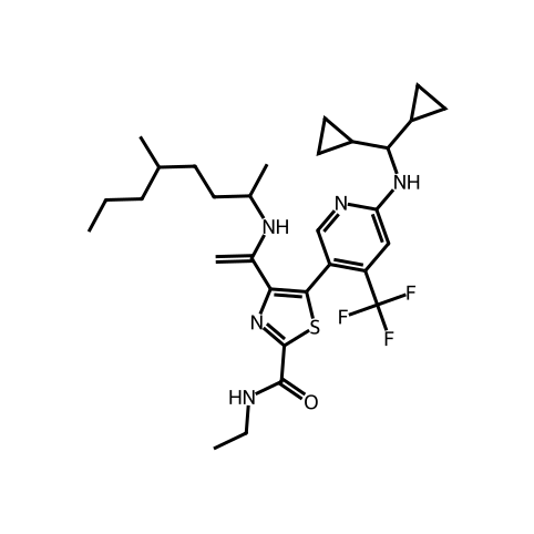 C=C(NC(C)CCC(C)CCC)c1nc(C(=O)NCC)sc1-c1cnc(NC(C2CC2)C2CC2)cc1C(F)(F)F